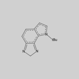 CC(C)(C)n1ccc2ccc3c(c21)=NCN=3